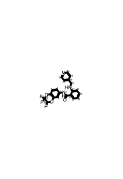 O=C(Nc1ccc2c(c1)OC(F)C(F)(F)O2)c1ccccc1NCc1ccncc1